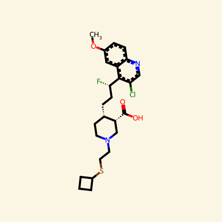 COc1ccc2ncc(Cl)c([C@@H](F)CC[C@H]3CCN(CCSC4CCC4)C[C@H]3C(=O)O)c2c1